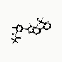 Cc1ccc(-c2nc3ccc(-c4cccnc4C(F)(F)F)nn3c2C)cc1NC(=O)C(C)(C)C